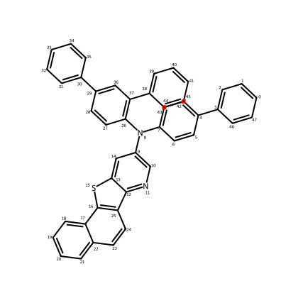 c1ccc(-c2ccc(N(c3cnc4c(c3)sc3c5ccccc5ccc43)c3ccc(-c4ccccc4)cc3-c3ccccc3)cc2)cc1